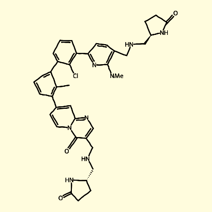 CNc1nc(-c2cccc(-c3cccc(-c4ccn5c(=O)c(CNC[C@@H]6CCC(=O)N6)cnc5c4)c3C)c2Cl)ccc1CNC[C@H]1CCC(=O)N1